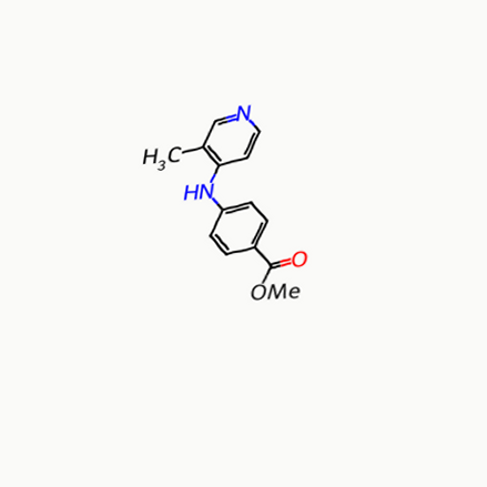 COC(=O)c1ccc(Nc2ccncc2C)cc1